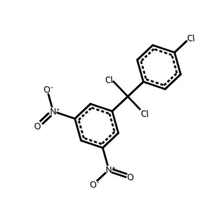 O=[N+]([O-])c1cc([N+](=O)[O-])cc(C(Cl)(Cl)c2ccc(Cl)cc2)c1